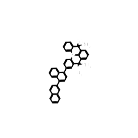 CC1(C)c2ccccc2N2c3ccc(-c4ccc(-c5ccc6ccccc6c5)c5ccccc45)cc3C(C)(C)c3cccc1c32